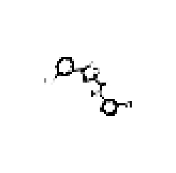 O=C(Nc1cccc(Cl)c1)c1cc(-c2cccc(O)c2)on1